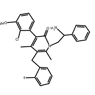 COc1cccc(-c2c(C)c(Cc3ccccc3F)c(C)n(CC(N)c3ccccc3)c2=O)c1Cl